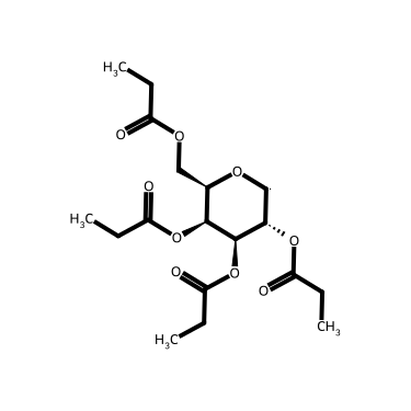 CCC(=O)OC[C@H]1O[CH][C@H](OC(=O)CC)[C@@H](OC(=O)CC)[C@H]1OC(=O)CC